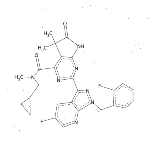 CN(CC1CC1)C(=O)c1nc(-c2nn(Cc3ccccc3F)c3ncc(F)cc23)nc2c1C(C)(C)C(=O)N2